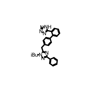 CCC(C)n1nc(-c2ccccc2)nc1Cc1ccc(-c2ccccc2-c2nnn[nH]2)cc1